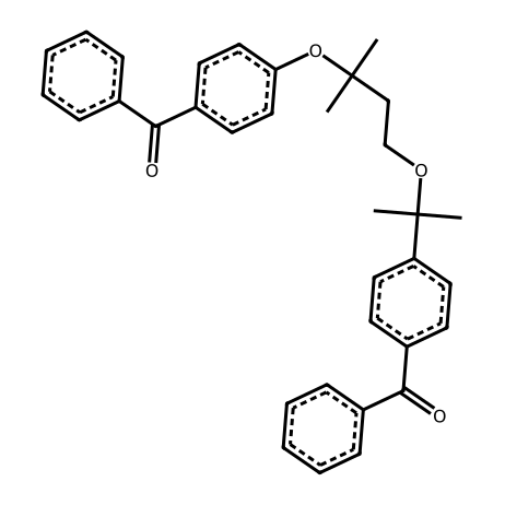 CC(C)(CCOC(C)(C)c1ccc(C(=O)c2ccccc2)cc1)Oc1ccc(C(=O)c2ccccc2)cc1